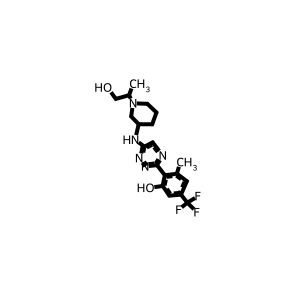 Cc1cc(C(F)(F)F)cc(O)c1-c1ncc(NC2CCCN(C(C)CO)C2)nn1